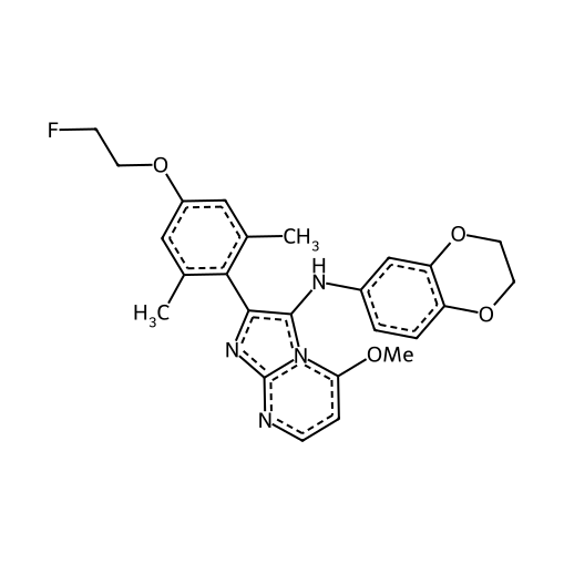 COc1ccnc2nc(-c3c(C)cc(OCCF)cc3C)c(Nc3ccc4c(c3)OCCO4)n12